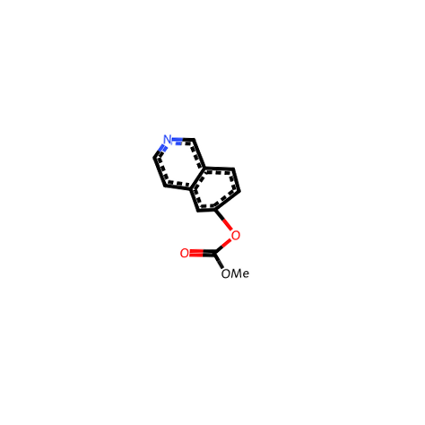 COC(=O)Oc1ccc2cnccc2c1